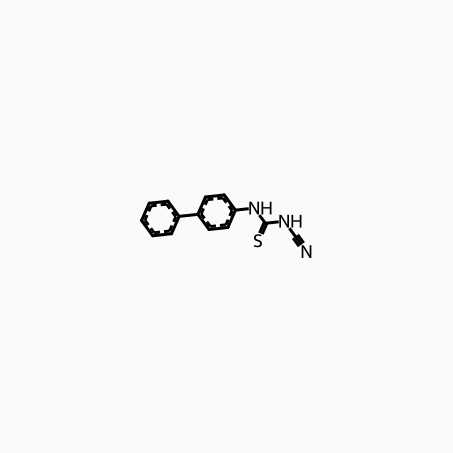 N#CNC(=S)Nc1ccc(-c2ccccc2)cc1